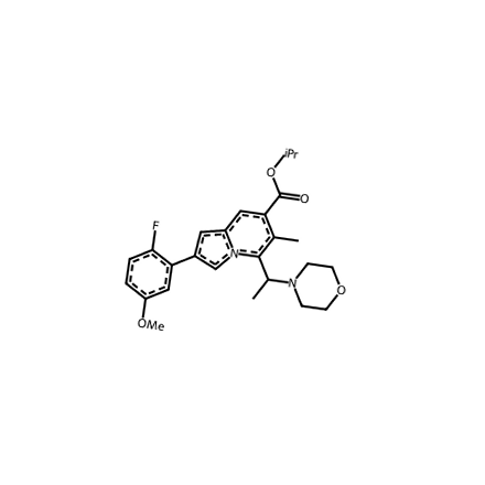 COc1ccc(F)c(-c2cc3cc(C(=O)OC(C)C)c(C)c(C(C)N4CCOCC4)n3c2)c1